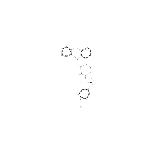 N=S(=O)(NC1CCCC(NC2c3ccccc3Sc3ccc(Cl)cc32)C1O)c1ccc(OC(F)(F)F)cc1